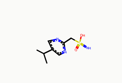 CC(C)c1cnc(CS(=N)(=O)O)nc1